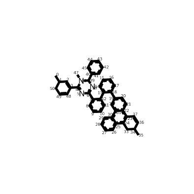 CC1C=C(C2=NC(c3ccccc3-c3ccccc3-c3ccc4c5c(c6ccccc6c4c3)CC(C)C=C5)=NC(c3ccccc3)N2C)C=CC1